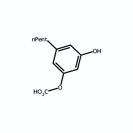 CCCCCc1cc(O)cc(OC(=O)O)c1